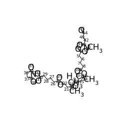 CN(OC(=O)CCCCC(=O)OC(C)(C)CCOC(C)(C)CCOC(=O)CCCCC(=O)ON1C(=O)CCC1=O)C(=O)CCC=O